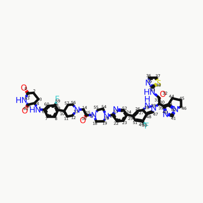 O=C1CCC(Nc2ccc(C3CCN(CC(=O)N4CCN(c5ccc(C6=CC7NN(C(C(=O)Nc8nccs8)c8ncn9c8CCC9)C=C7C(F)=C6)cn5)CC4)CC3)c(F)c2)C(=O)N1